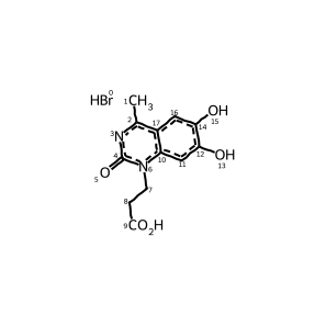 Br.Cc1nc(=O)n(CCC(=O)O)c2cc(O)c(O)cc12